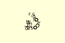 Cc1onc(NSc2ccc3c(c2)CN(C(C)c2ccc(OCC(F)(F)F)nc2)CC3)c1-c1cnn(C)c1